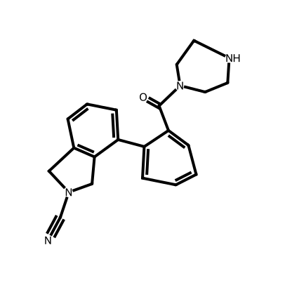 N#CN1Cc2cccc(-c3ccccc3C(=O)N3CCNCC3)c2C1